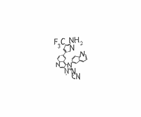 Cn1c(=NC#N)n(-c2ccc3ncccc3c2)c2c3cc(-c4cnc(N)c(C(F)(F)F)c4)ccc3ncc21